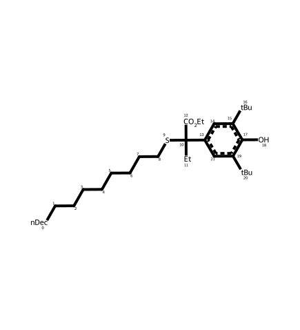 CCCCCCCCCCCCCCCCCCSC(CC)(C(=O)OCC)c1cc(C(C)(C)C)c(O)c(C(C)(C)C)c1